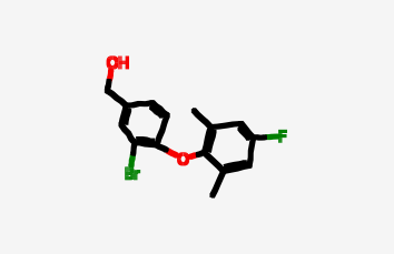 Cc1cc(F)cc(C)c1Oc1ccc(CO)cc1Br